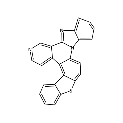 c1ccc2c(c1)nc1c3cnccc3c3c4c(ccc3n21)sc1ccccc14